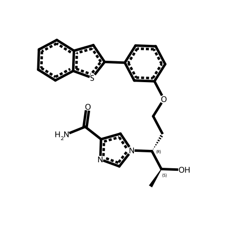 C[C@H](O)[C@@H](CCOc1cccc(-c2cc3ccccc3s2)c1)n1cnc(C(N)=O)c1